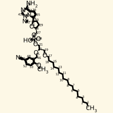 CCCCCCCCCCCCCCCCCCOC[C@H](COP(=O)(O)OC[C@@H]1CC[C@](C#N)(c2ccc3c(N)ncnn23)O1)OCc1cc(C#N)ccc1OC